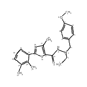 CCN(Cc1ccc(OC)cc1)NC(=O)c1sc(-c2cccc(C)c2C)nc1C